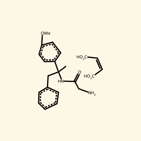 COc1ccc(C(C)(Cc2ccccc2)NC(=O)CN)cc1.O=C(O)/C=C\C(=O)O